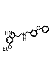 CCOc1ccc2[nH]cc(CCNCc3cccc(Oc4ccccc4)c3)c2c1